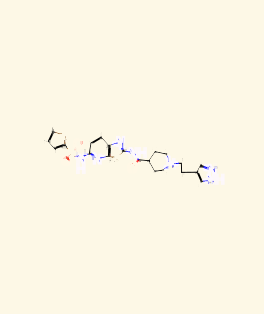 O=C(Nc1nc2ccc(NS(=O)(=O)c3cccs3)nc2s1)C1CCN(CCc2cn[nH]c2)CC1